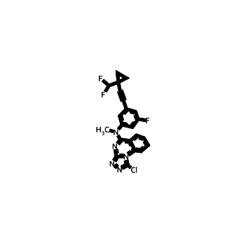 CN(c1cc(F)cc(C#CC2(C(F)F)CC2)c1)c1nc2nnc(Cl)n2c2ccccc12